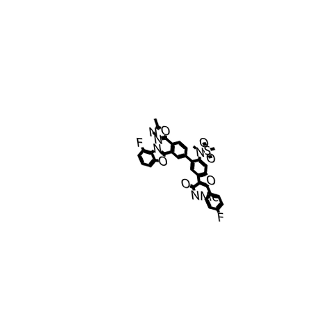 CNC(=O)c1c(-c2ccc(F)cc2)oc2cc(N(C)S(C)(=O)=O)c(-c3ccc(-c4nnc(C)o4)c(-c4nc5c(F)cccc5o4)c3)cc12